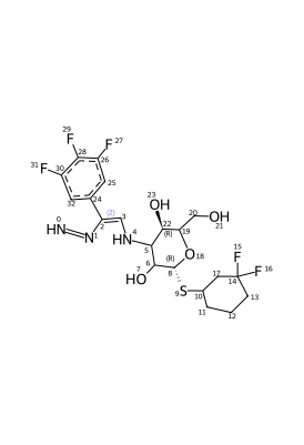 N=N/C(=C\NC1C(O)[C@@H](SC2CCCC(F)(F)C2)OC(CO)[C@@H]1O)c1cc(F)c(F)c(F)c1